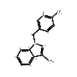 Nc1nn(Cc2ccc(C(F)(F)F)nc2)c2ccccc12